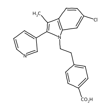 Cc1c(-c2cccnc2)n(CCc2ccc(C(=O)O)cc2)c2cc(Cl)ccc12